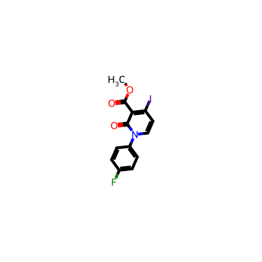 COC(=O)c1c(I)ccn(-c2ccc(F)cc2)c1=O